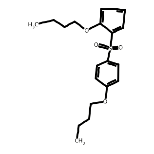 CCCCOc1ccc(S(=O)(=O)c2ccccc2OCCCC)cc1